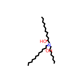 CCCCCCCCCCC(O)CN(CCCCCCCC)CC(O)CCCCCCCCCC